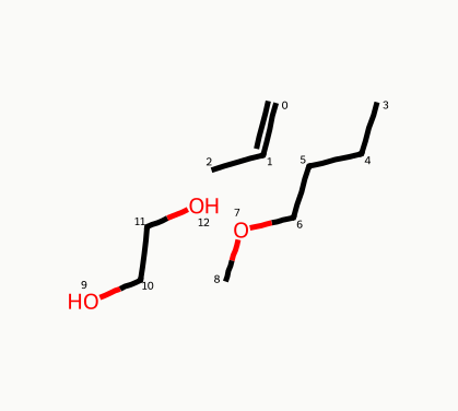 C=CC.CCCCOC.OCCO